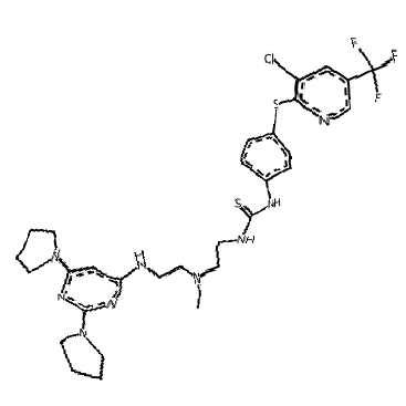 CN(CCNC(=S)Nc1ccc(Sc2ncc(C(F)(F)F)cc2Cl)cc1)CCNc1cc(N2CCCC2)nc(N2CCCC2)n1